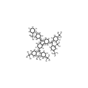 CC(C)(C)c1ccc2c(c1)C(C)(C)c1cc(C(C)(C)C)ccc1N2c1ccc2c(c1)c1cc(N3c4ccc(C(C)(C)C)cc4C(C)(C)c4cc(C(C)(C)C)ccc43)ccc1n2-c1ccc2c(c1)C(C)(C)c1ccccc1-2